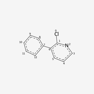 Clc1ncccc1-c1[c]cccc1